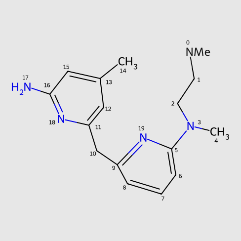 CNCCN(C)c1cccc(Cc2cc(C)cc(N)n2)n1